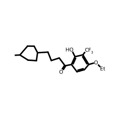 CCOc1ccc(C(=O)CCCC2CCC(C)CC2)c(O)c1C(F)(F)F